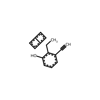 C#Cc1cccc(O)c1CC.c1cc2ccc1-2